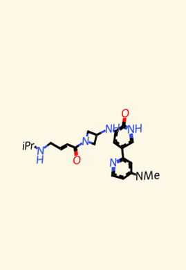 CNc1ccnc(-c2c[nH]c(=O)c(NC3CN(C(=O)C=CCNC(C)C)C3)c2)c1